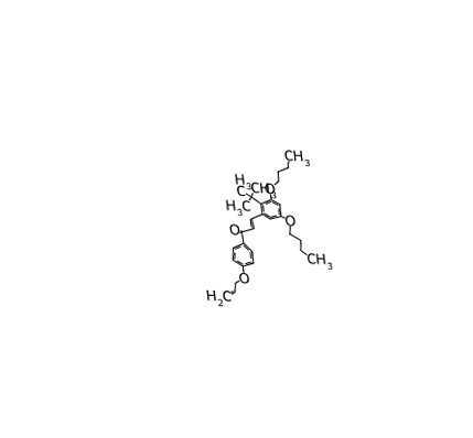 C=CCOc1ccc(C(=O)C=Cc2cc(OCCCC)cc(OCCCC)c2C(C)(C)C)cc1